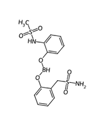 CS(=O)(=O)Nc1ccccc1OBOc1ccccc1CS(N)(=O)=O